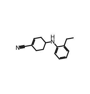 CCc1ccccc1NC1CC=C(C#N)CC1